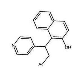 CC(=O)CC(c1ccncc1)c1c(O)ccc2ccccc12